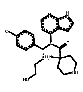 NC1(C(=O)N(c2ncnc3[nH]ccc23)[C@H](CCCO)c2ccc(Cl)cc2)CCNCC1